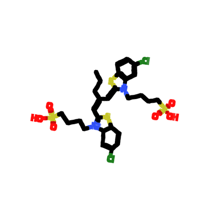 CCCC(=CC1=[N+](CCCCS(=O)(=O)O)C2C=C(Cl)C=CC2S1)C=C1Sc2ccc(Cl)cc2N1CCCCS(=O)(=O)O